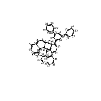 CC1=CC=C2C=CC=CC2C1B(c1cccc(-c2cc(-c3ccccc3)cc(-c3ccccc3)c2)c1)c1c(C)ccc2ccccc12